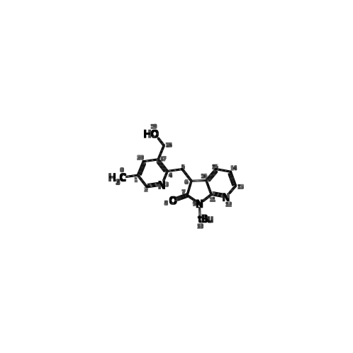 Cc1cnc(CC2C(=O)N(C(C)(C)C)c3ncccc32)c(CO)c1